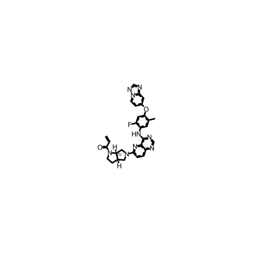 C=CC(=O)N1CC[C@H]2CN(c3ccc4ncnc(Nc5cc(C)c(Oc6ccn7ncnc7c6)cc5F)c4n3)C[C@H]21